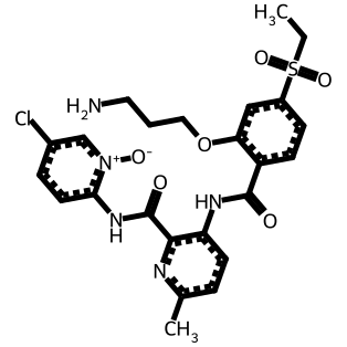 CCS(=O)(=O)c1ccc(C(=O)Nc2ccc(C)nc2C(=O)Nc2ccc(Cl)c[n+]2[O-])c(OCCCN)c1